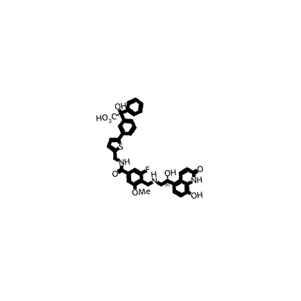 COc1cc(C(=O)NCc2ccc(-c3cccc([C@](O)(C(=O)O)c4ccccc4)c3)s2)cc(F)c1CNC[C@H](O)c1ccc(O)c2[nH]c(=O)ccc12